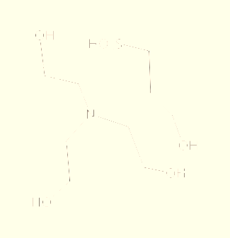 O=S(=O)(O)CCCO.OCCN(CCO)CCO